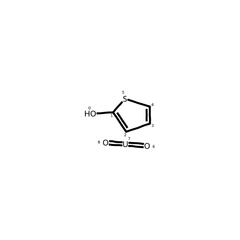 Oc1cccs1.[O]=[U]=[O]